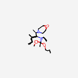 C=CN(/C(=C(/C)CC)C(C)N1CCOCC1)C(C)(OC)OCCC